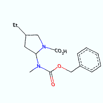 CCC1CC(N(C)C(=O)OCc2ccccc2)N(C(=O)O)C1